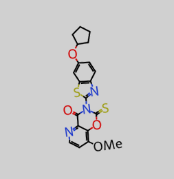 COc1ccnc2c(=O)n(-c3nc4ccc(OC5CCCC5)cc4s3)c(=S)oc12